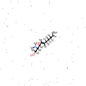 [2H]/C(=C(/[2H])[C@@]([2H])(O)[C@@]([2H])(N([2H])[2H])C([2H])([2H])O)C([2H])([2H])C([2H])([2H])C([2H])([2H])C([2H])CCCCCCCCC